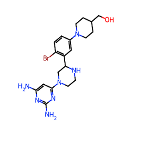 Nc1cc(N2CCNC(c3cc(N4CCC(CO)CC4)ccc3Br)C2)nc(N)n1